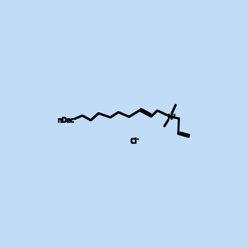 C=CC[N+](C)(C)CC=CCCCCCCCCCCCCCCCC.[Cl-]